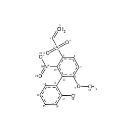 C=CS(=O)(=O)c1ccc(OC)c(-c2ccccc2Cl)c1[N+](=O)[O-]